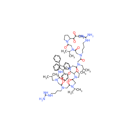 CC(=O)C(=O)C1CCCN1C(=O)CN(C(=O)CN(CCCCNC(=N)N)C(=O)CN(CC(C)C)C(=O)CN(CC(c1ccccc1)c1ccccc1)C(=O)C1CCCN1C(=O)CN(C(=O)CN(CCCCNC(=N)N)C(=O)CN(CC(C)C)C(=O)CNCC(c1ccccc1)c1ccccc1)C(C)C)C(C)C